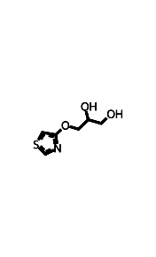 OCC(O)COc1cscn1